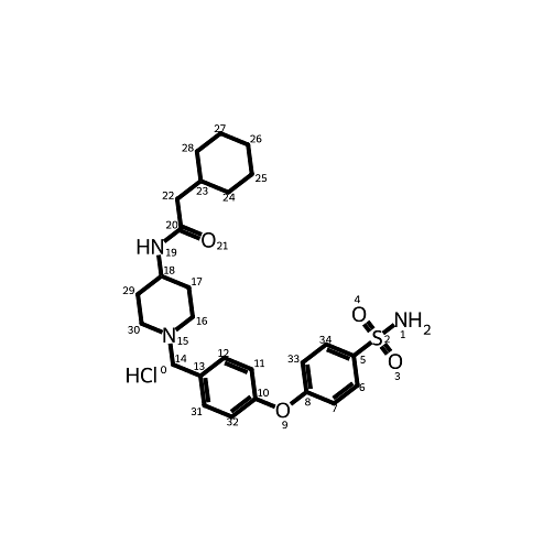 Cl.NS(=O)(=O)c1ccc(Oc2ccc(CN3CCC(NC(=O)CC4CCCCC4)CC3)cc2)cc1